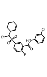 CCN(C1C=CCCC1)S(=O)(=O)c1ccc(F)c(C(=O)Nc2cccc(Cl)c2)c1